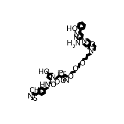 Cc1ncsc1-c1ccc(CNC(=O)[C@@H]2C[C@@H](O)CN2C(=O)[C@@H](c2cc(OCCOCCOCCCCN3CCOC4(CCN(c5cc(-c6ccccc6O)nnc5N)CC4)C3)no2)C(C)C)cc1